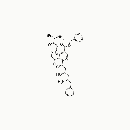 CC(C)[C@H](N)C(=O)NCc1c(C(=O)OCc2ccccc2)cnc(C(=O)CC(O)CC(N)Cc2ccccc2)c1C(=O)[C@H](C)N